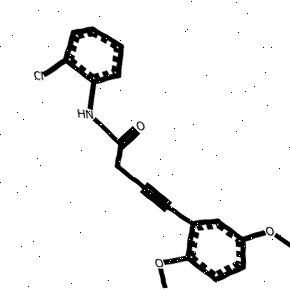 COc1ccc(OC)c(C#CCC(=O)Nc2ccccc2Cl)c1